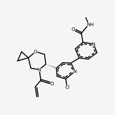 C=CC(=O)N1CC2(CC2)OC[C@@H]1c1cc(Cl)nc(-c2ccnc(C(=O)NC)c2)c1